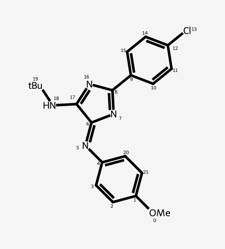 COc1ccc(/N=C2\N=C(c3ccc(Cl)cc3)N=C2NC(C)(C)C)cc1